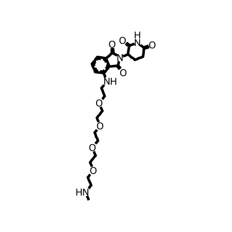 CNCCOCCOCCOCCOCCNc1cccc2c1C(=O)N(C1CCC(=O)NC1=O)C2=O